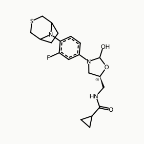 O=C(NC[C@H]1CN(c2ccc(N3C4CCC3CSC4)c(F)c2)C(O)O1)C1CC1